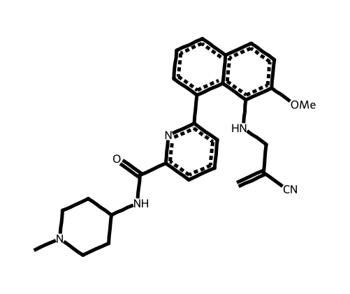 C=C(C#N)CNc1c(OC)ccc2cccc(-c3cccc(C(=O)NC4CCN(C)CC4)n3)c12